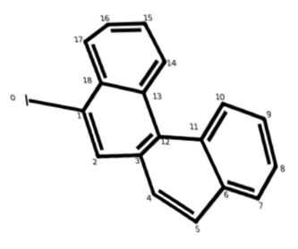 Ic1cc2ccc3ccccc3c2c2ccccc12